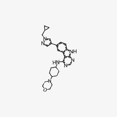 c1nc(NC2CCC(N3CCOCC3)CC2)c2c(n1)[nH]c1ccc(-c3cnn(CC4CC4)c3)cc12